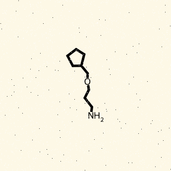 NCCCOCC1CCCC1